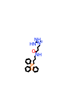 CN(CCCC(=O)NCCCC[PH](c1ccccc1)(c1ccccc1)c1ccccc1)C(=N)N